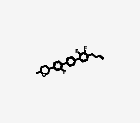 C=CCCc1ccc(-c2ccc(-c3ccc(C4CCC(C)OC4)cc3F)cc2)c(F)c1F